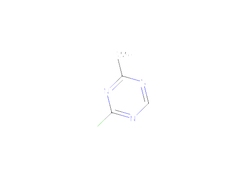 CSc1ncnc(Cl)n1